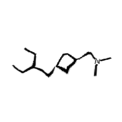 CCC(CC)C[C@H]1C[C@@H](CN(C)C)C1